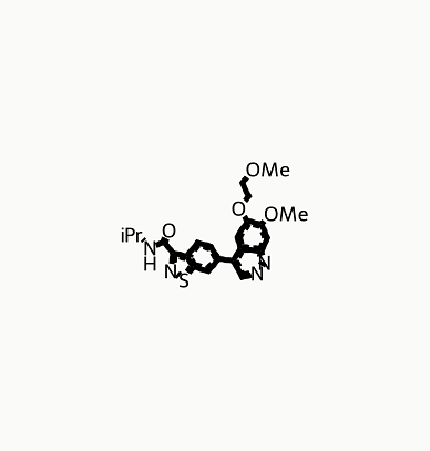 COCCOc1cc2c(-c3ccc4c(C(=O)NC(C)C)nsc4c3)cnnc2cc1OC